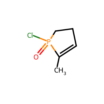 CC1=CCCP1(=O)Cl